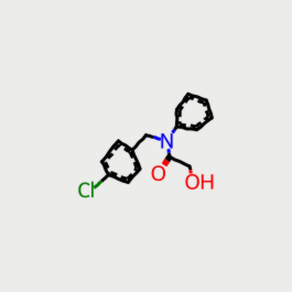 O=C(CO)N(Cc1ccc(Cl)cc1)c1ccccc1